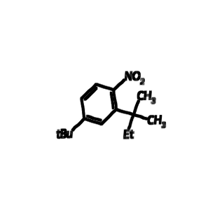 CCC(C)(C)c1cc(C(C)(C)C)ccc1[N+](=O)[O-]